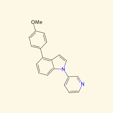 COc1ccc(-c2cccc3c2ccn3-c2cccnc2)cc1